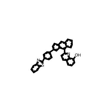 Oc1cccc2ccc(-c3c4ccccc4cc4ccc(-c5ccc(-c6nc7ccccc7s6)cc5)cc34)nc12